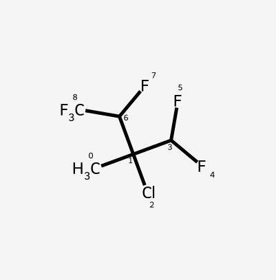 CC(Cl)(C(F)F)C(F)C(F)(F)F